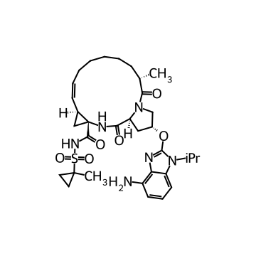 CC(C)n1c(O[C@@H]2C[C@H]3C(=O)N[C@]4(C(=O)NS(=O)(=O)C5(C)CC5)C[C@H]4/C=C\CCCCC[C@H](C)C(=O)N3C2)nc2c(N)cccc21